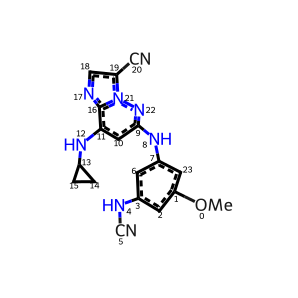 COc1cc(NC#N)cc(Nc2cc(NC3CC3)c3ncc(C#N)n3n2)c1